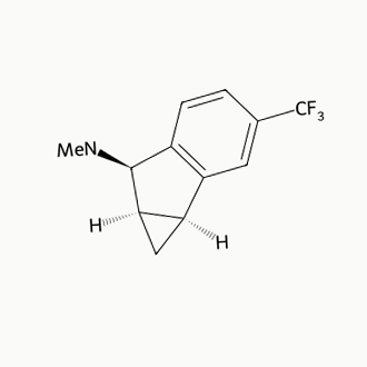 CN[C@H]1c2ccc(C(F)(F)F)cc2[C@H]2C[C@H]21